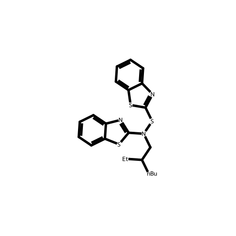 CCCCC(CC)CN(Sc1nc2ccccc2s1)c1nc2ccccc2s1